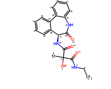 CCC(O)(C(=O)NCC(F)(F)F)C(=O)N[C@@H]1C(=O)Nc2ccccc2-c2ccccc21